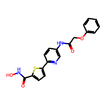 O=C(COc1ccccc1)Nc1ccc(-c2ccc(C(=O)NO)s2)nc1